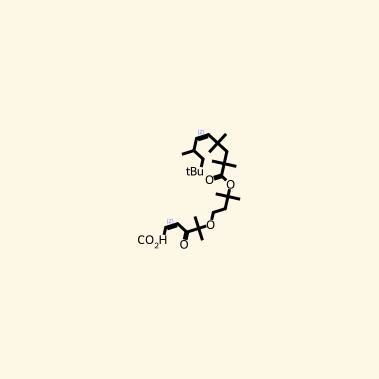 CC(/C=C\C(C)(C)CC(C)(C)C(=O)OC(C)(C)CCOC(C)(C)C(=O)/C=C\C(=O)O)CC(C)(C)C